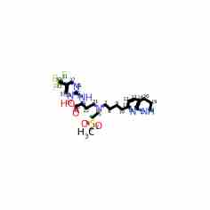 CS(=O)(=O)CCN(CCCCc1ccc2c(n1)NCCC2)CCC(Nc1ncc(C(F)(F)F)cn1)C(=O)O